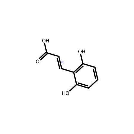 O=C(O)/C=C/c1c(O)cccc1O